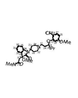 CNC(=O)CC1(OC)C(=O)N(C2CCN(CCC(Oc3cc(OC)ccc3Cl)C(C)C)CC2)c2ccccc21